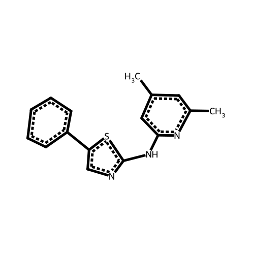 Cc1cc(C)nc(Nc2ncc(-c3ccccc3)s2)c1